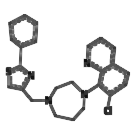 Clc1ccc2cccnc2c1N1CCCN(Cc2csc(-c3ccccc3)n2)CC1